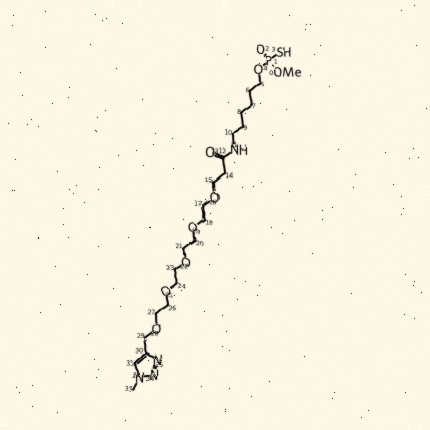 COP(=O)(S)OCCCCCCNC(=O)CCOCCOCCOCCOCCOCc1cn(C)nn1